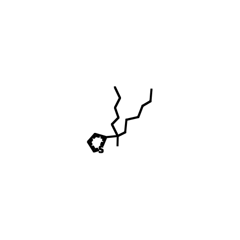 CCCCCCC(C)(CCCCC)c1cccs1